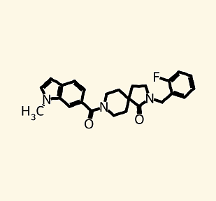 Cn1ccc2ccc(C(=O)N3CCC4(CC3)CCN(Cc3ccccc3F)C4=O)cc21